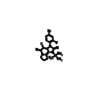 BC(C)(C)n1c(=O)n(-c2ccc(Br)cc2F)c2c(F)c(=O)n3c(c21)CCC3